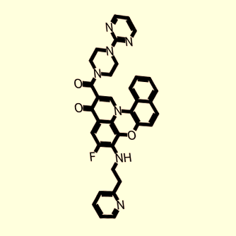 O=C(c1cn2c3c(c(NCCc4ccccn4)c(F)cc3c1=O)Oc1ccc3ccccc3c1-2)N1CCN(c2ncccn2)CC1